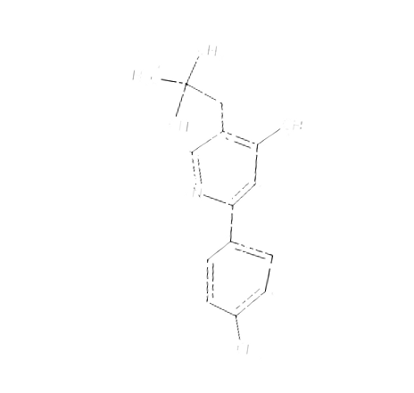 Cc1ccc(-c2cc(C)c(CC(C)(C)C)cn2)cc1